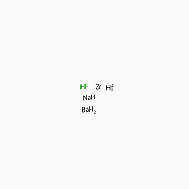 F.[BaH2].[Hf].[NaH].[Zr]